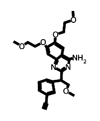 C#Cc1cccc(C(COC)c2nc(N)c3cc(OCCOC)c(OCCOC)cc3n2)c1